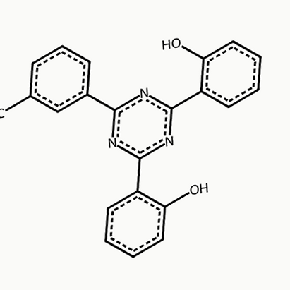 N#Cc1cccc(-c2nc(-c3ccccc3O)nc(-c3ccccc3O)n2)c1